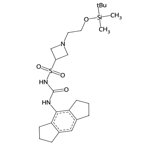 CC(C)(C)[Si](C)(C)OCCN1CC(S(=O)(=O)NC(=O)Nc2c3c(cc4c2CCC4)CCC3)C1